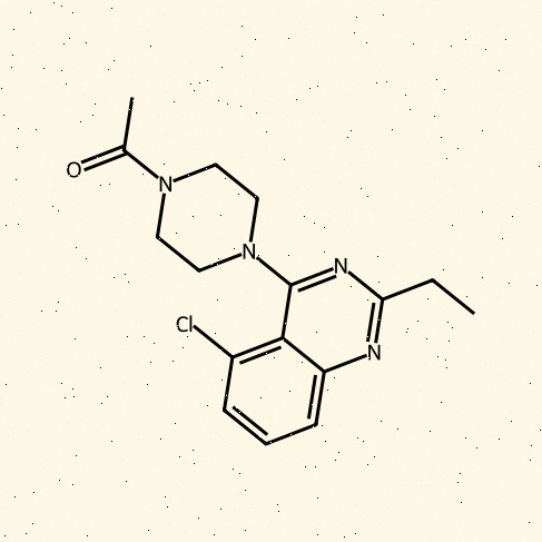 CCc1nc(N2CCN(C(C)=O)CC2)c2c(Cl)cccc2n1